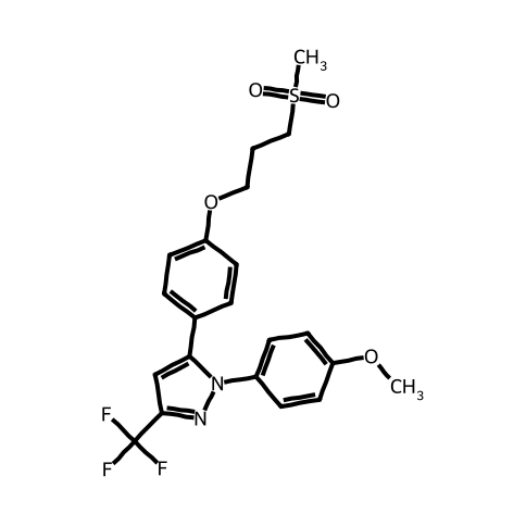 COc1ccc(-n2nc(C(F)(F)F)cc2-c2ccc(OCCCS(C)(=O)=O)cc2)cc1